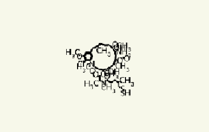 COc1cc2cc(c1Cl)N(C)C(=O)CC(OC(=O)[C@@H](C)N(C)C(=O)CC[C@H](C)CSS)C(C)(O)CC(C)C(OC=O)CC(N)(O)C(OC)/C=C/C=C(\C)C2